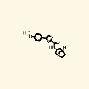 COc1ccc(-c2cnc(C(=O)N[C@@H]3C[C@H]4CCN(C4)C3)s2)cc1